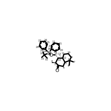 C[C@@H]1C(=O)CC2C(C)(C)CCC[C@]2(C)[C@H]1CO[Si](c1ccccc1)(c1ccccc1)C(C)(C)C